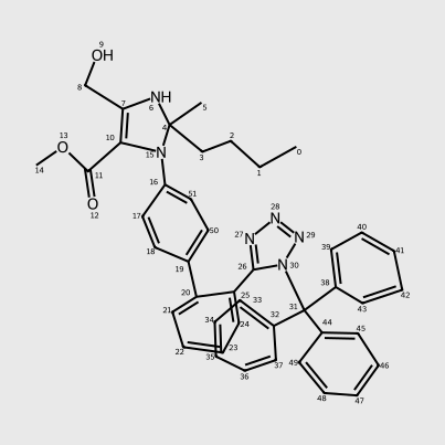 CCCCC1(C)NC(CO)=C(C(=O)OC)N1c1ccc(-c2ccccc2-c2nnnn2C(c2ccccc2)(c2ccccc2)c2ccccc2)cc1